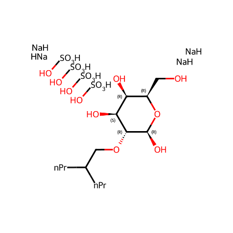 CCCC(CCC)CO[C@@H]1[C@@H](O)[C@@H](O)[C@@H](CO)O[C@H]1O.O=S(=O)(O)O.O=S(=O)(O)O.O=S(=O)(O)O.O=S(=O)(O)O.[NaH].[NaH].[NaH].[NaH]